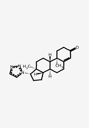 C[C@]12CC[C@H]3[C@@H](CCC4=CC(=O)CC[C@@]43C)[C@@H]1CC[C@@H]2n1ccnn1